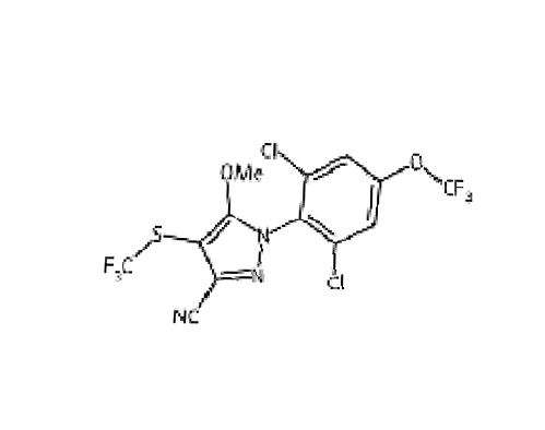 COc1c(SC(F)(F)F)c(C#N)nn1-c1c(Cl)cc(OC(F)(F)F)cc1Cl